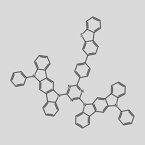 c1ccc(-n2c3ccccc3c3cc4c(cc32)c2ccccc2n4-c2nc(-c3ccc(-c4ccc5c(c4)sc4ccccc45)cc3)nc(-n3c4ccccc4c4cc5c(cc43)c3ccccc3n5-c3ccccc3)n2)cc1